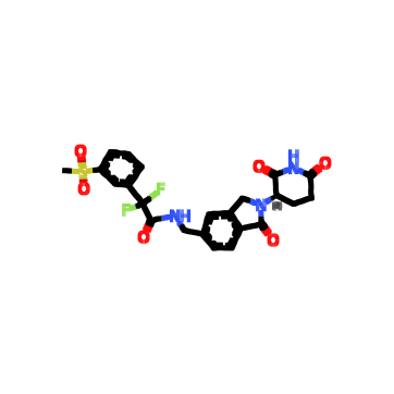 CS(=O)(=O)c1cccc(C(F)(F)C(=O)NCc2ccc3c(c2)CN([C@@H]2CCC(=O)NC2=O)C3=O)c1